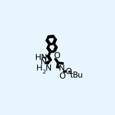 CC(C)(C)OC(=O)N1CC(COc2cc3ccccc3cc2-c2cc(N)n[nH]2)C1